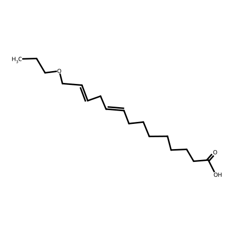 CCCOC/C=C/C/C=C/CCCCCCCC(=O)O